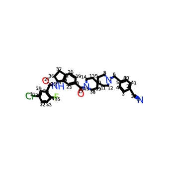 N#Cc1ccc(CN2CCC3(CC2)CCN(C(=O)c2ccc4c(c2)C(NC(=O)c2cc(Cl)ccc2F)CC4)CC3)cc1